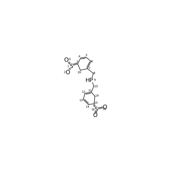 O=S(=O)=C1C=CC=C(CPCC2=CC=CC(=S(=O)=O)C2)C1